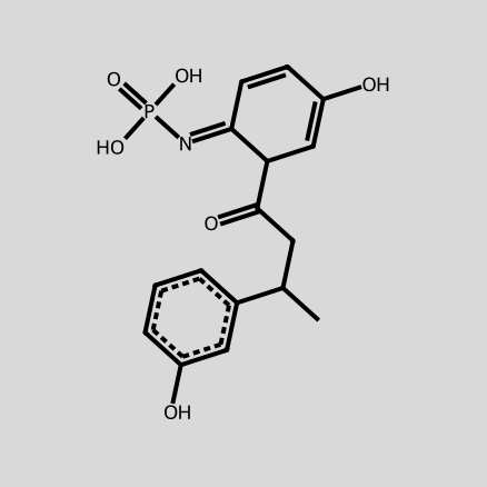 CC(CC(=O)C1C=C(O)C=C/C1=N\P(=O)(O)O)c1cccc(O)c1